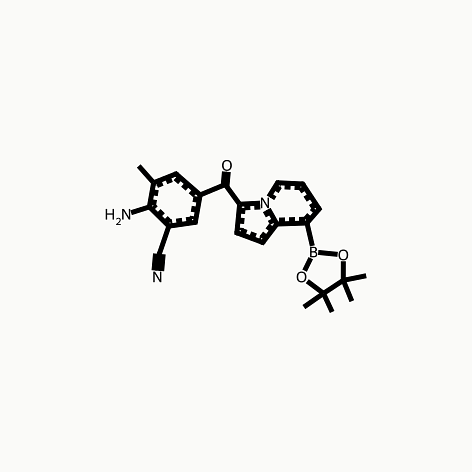 Cc1cc(C(=O)c2ccc3c(B4OC(C)(C)C(C)(C)O4)cccn23)cc(C#N)c1N